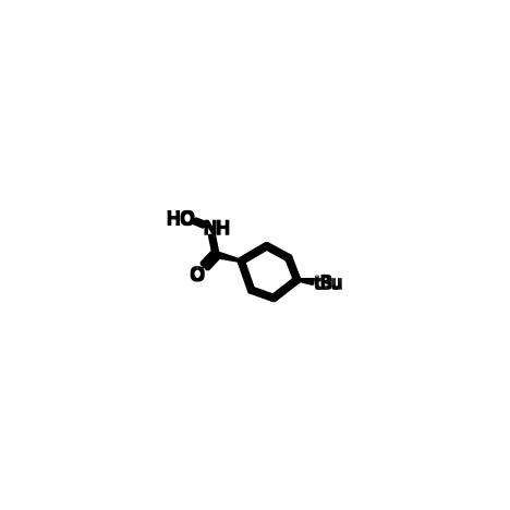 CC(C)(C)[C@H]1CC[C@@H](C(=O)NO)CC1